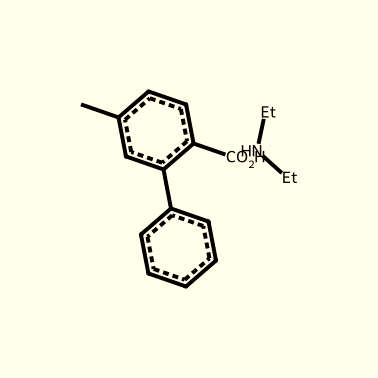 CCNCC.Cc1ccc(C(=O)O)c(-c2ccccc2)c1